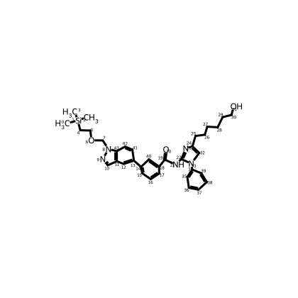 C[Si](C)(C)CCOCn1ncc2cc(-c3cccc(C(=O)Nc4nc(CCCCCCO)cn4-c4ccccc4)c3)ccc21